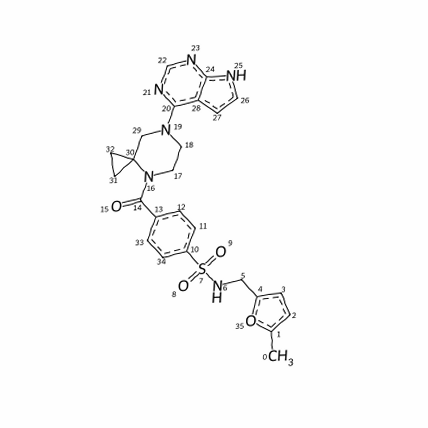 Cc1ccc(CNS(=O)(=O)c2ccc(C(=O)N3CCN(c4ncnc5[nH]ccc45)CC34CC4)cc2)o1